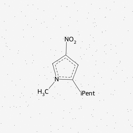 CCCC(C)c1cc([N+](=O)[O-])cn1C